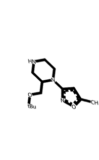 Cc1cc(N2CCNCC2COC(C)(C)C)no1